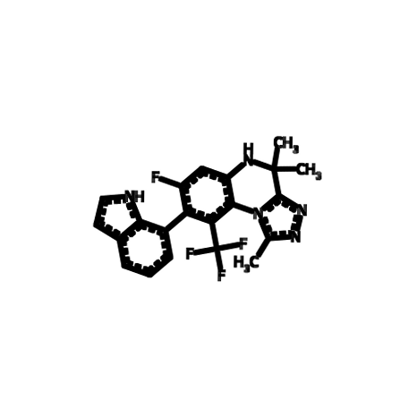 Cc1nnc2n1-c1c(cc(F)c(-c3cccc4cc[nH]c34)c1C(F)(F)F)NC2(C)C